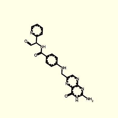 Nc1nc2ncc(CNc3ccc(C(=O)NC(C=O)c4ccccn4)cc3)nc2c(=O)[nH]1